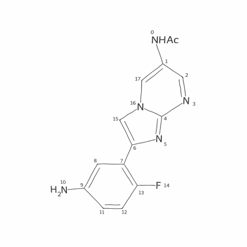 CC(=O)Nc1cnc2nc(-c3cc(N)ccc3F)cn2c1